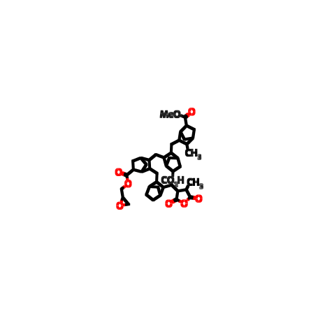 COC(=O)C1CC2CC1C(CC1C3CC(C(=O)O)C(C3)C1CC1C3CC(C(=O)OCC4CO4)C(C3)C1CC1C3CCC(C3)C1CC1C(=O)OC(=O)C1C)C2C